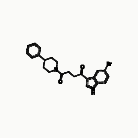 O=C(CCC(=O)N1CCC(c2ccccc2)CC1)c1c[nH]c2ccc(Br)cc12